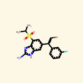 CC(C)S(=O)(=O)c1cc(/C(=C/Br)c2cccc(F)c2)cc2[nH]c(N)nc12